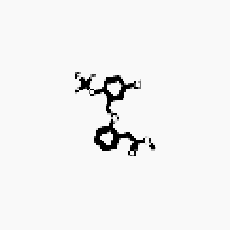 COC(=O)Cc1ccccc1OCc1cc(Cl)ccc1OC(F)(F)F